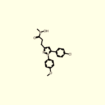 COc1ccc(-n2nc(CCC(=O)N(C)O)cc2-c2ccc(Cl)cc2)cc1